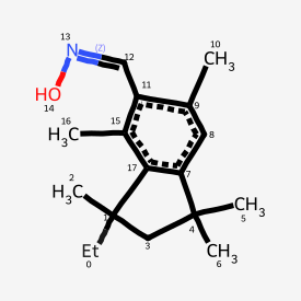 CCC1(C)CC(C)(C)c2cc(C)c(/C=N\O)c(C)c21